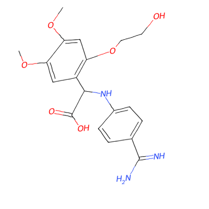 COc1cc(OCCO)c(C(Nc2ccc(C(=N)N)cc2)C(=O)O)cc1OC